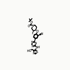 CC(C)(C)OC(=O)N1CC[C@H](Oc2ccc(-c3ncnc(Nc4scnc4CO)n3)cc2C#N)[C@@H](F)C1